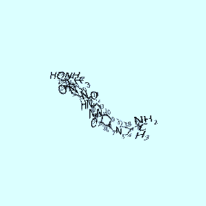 C[C@@H](N)C1CCN(Cc2ccc(-n3ccc(NC(=O)N4CCN(C(=O)[C@@](C)(N)CO)CC4)nc3=O)cc2)CC1